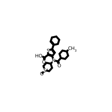 CC1CCC(C(=O)N(c2cc(C3=CCCCC3)sc2C(=O)O)C2CC[S+]([O-])CC2)CC1